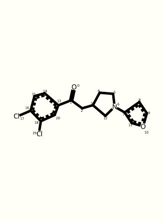 O=C(CC1CCN(c2ccoc2)C1)c1ccc(Cl)c(Cl)c1